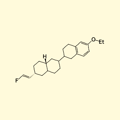 CCOc1ccc2c(c1)CCC(C1CCC3C[C@H](C=CF)CC[C@@H]3C1)C2